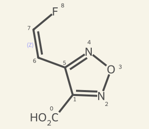 O=C(O)c1nonc1/C=C\F